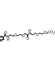 O=C(O)COCCOCCNC(=O)COCCOCCNC(=O)c1cn[nH]c1